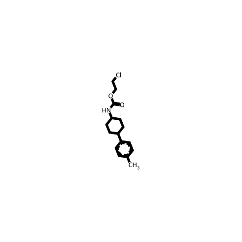 Cc1ccc(C2CCC(NC(=O)OCCCl)CC2)cc1